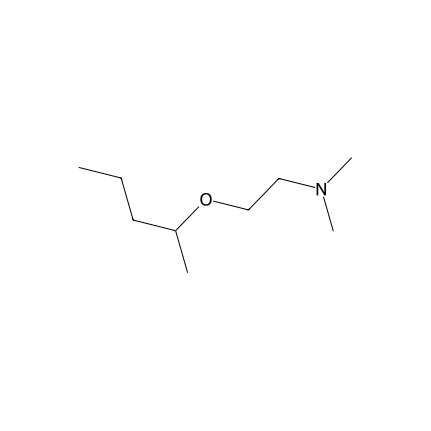 CCCC(C)OCCN(C)C